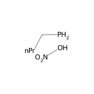 CCCCP.O=[N+]([O-])O